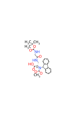 COC(=O)N(C1c2ccccc2-c2ccccc21)[C@@H](CNC(=O)CNC(=O)OC(C)(C)C)C(=O)O